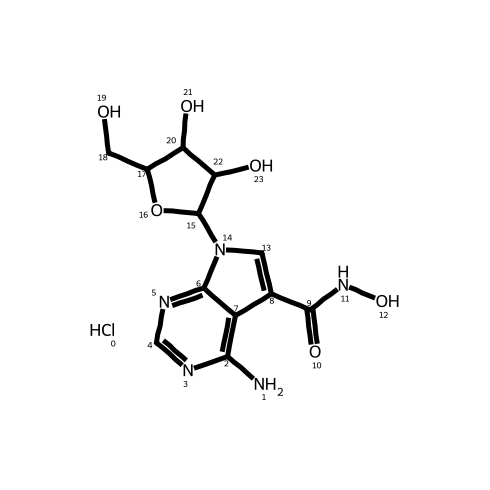 Cl.Nc1ncnc2c1c(C(=O)NO)cn2C1OC(CO)C(O)C1O